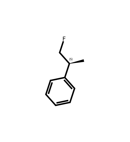 C[C@H](CF)c1ccccc1